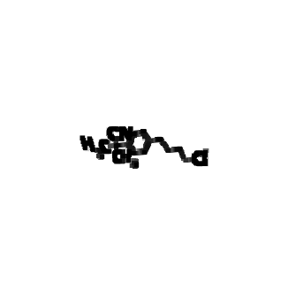 CC(C)(C#N)c1ccc(CCCCCl)cc1